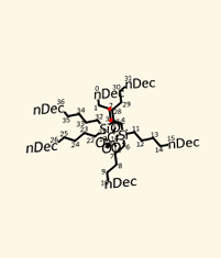 CCCCCCCCCCCCCC[Si](CCCCCCCCCCCCCC)(CCCCCCCCCCCCCC)[Cr](=[O])(=[O])([O-])([O-])[Si](CCCCCCCCCCCCCC)(CCCCCCCCCCCCCC)CCCCCCCCCCCCCC